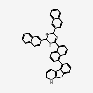 C1=Cc2c(oc3cccc(-c4cccc5c(C6=NC(c7ccc8ccccc8c7)NC(c7ccc8ccccc8c7)N6)cccc45)c23)NC1